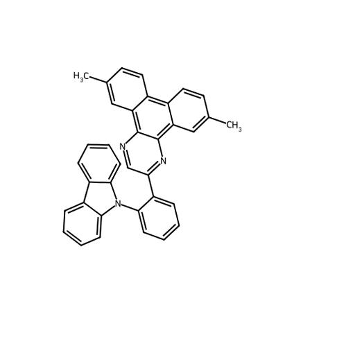 Cc1ccc2c3ccc(C)cc3c3nc(-c4ccccc4-n4c5ccccc5c5ccccc54)cnc3c2c1